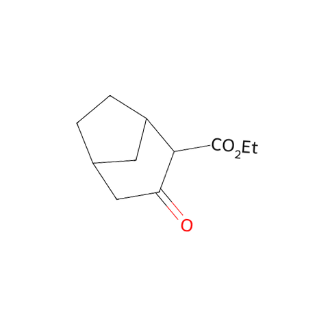 CCOC(=O)C1C(=O)CC2CCC1C2